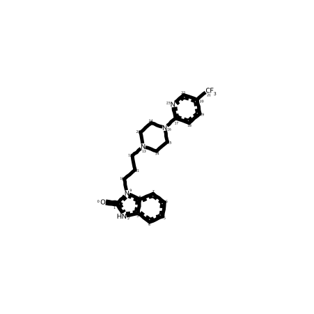 O=c1[nH]c2ccccc2n1CCCN1CCN(c2ccc(C(F)(F)F)cn2)CC1